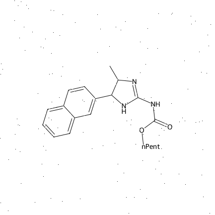 CCCCCOC(=O)NC1=NC(C)C(c2ccc3ccccc3c2)N1